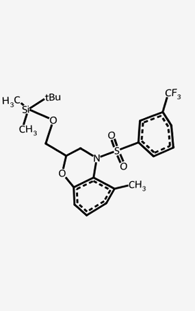 Cc1cccc2c1N(S(=O)(=O)c1cccc(C(F)(F)F)c1)CC(CO[Si](C)(C)C(C)(C)C)O2